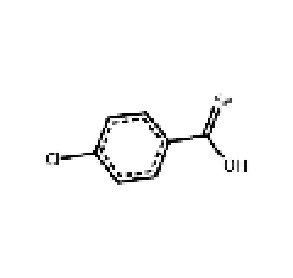 OC(=[Se])c1ccc(Cl)cc1